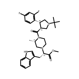 COC(=O)[C@H](Cc1c[nH]c2ccccc12)N1CCN(C(=O)[C@@H]2CN(C(C)(C)C)C[C@H]2c2ccc(F)cc2F)[C@@H](C)C1